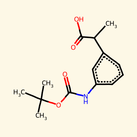 CC(C(=O)O)c1cccc(NC(=O)OC(C)(C)C)c1